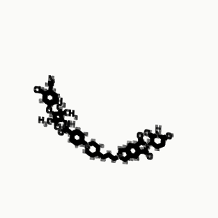 CC1(C)[C@H](NC(=O)c2ccc(N3CCC(CCCN4Cc5cc6c(cc5C4)C(=O)N([C@@H]4CCC(=O)NC4=O)C6=O)CC3)cc2)C(C)(C)[C@H]1Oc1ccc(C#N)c(Cl)c1